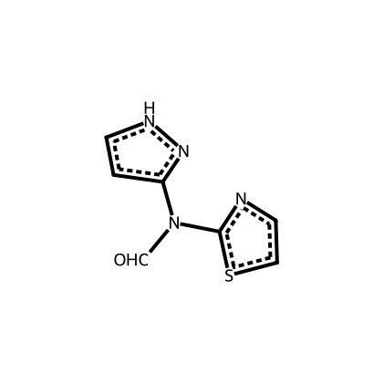 O=CN(c1cc[nH]n1)c1nccs1